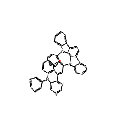 c1ccc(N2c3cncnc3-c3cc(-n4c5ccccc5c5ccc6c7ccccc7n(-c7ccccc7)c6c54)cc4cccc2c34)cc1